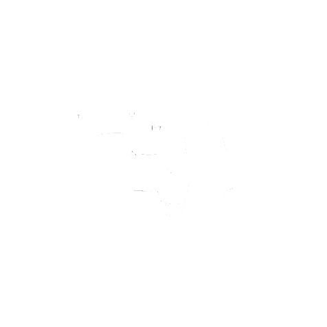 CC1CCC(C(C)C)C(C2(C3CC(C)CCC3C(C)C)CN(C(=O)OC(C)(C)C)CCC2C=O)C1